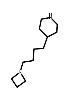 C(CCN1CCC1)CC1CCNCC1